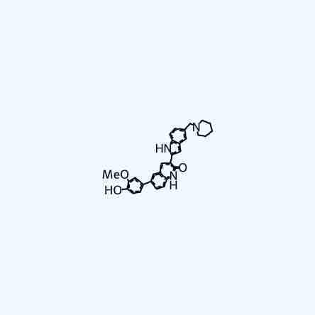 COc1cc(-c2ccc3[nH]c(=O)c(-c4cc5cc(CN6CCCCC6)ccc5[nH]4)cc3c2)ccc1O